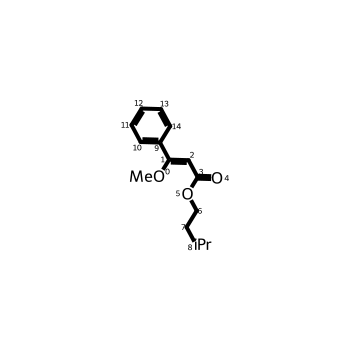 COC(=CC(=O)OCCC(C)C)c1ccccc1